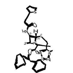 Cn1nnnc1C1(C)CS[C@H]2[C@H](NC(=O)Cc3cccs3)C(=S)N2C1C(=O)OC(c1ccccc1)c1ccccc1